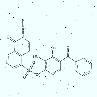 [N-]=[N+]=C1C=Cc2c(cccc2S(=O)(=O)Oc2ccc(C(=O)c3ccccc3)c(O)c2O)C1=O